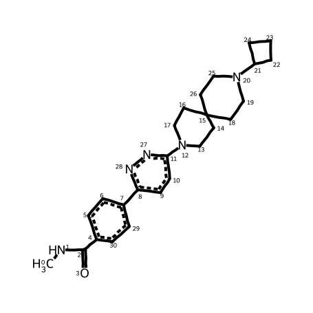 CNC(=O)c1ccc(-c2ccc(N3CCC4(CC3)CCN(C3CCC3)CC4)nn2)cc1